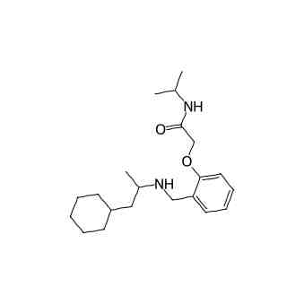 CC(C)NC(=O)COc1ccccc1CNC(C)CC1CCCCC1